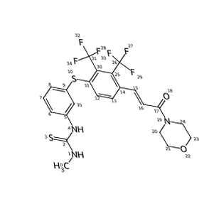 CNC(=S)Nc1cccc(Sc2ccc(C=CC(=O)N3CCOCC3)c(C(F)(F)F)c2C(F)(F)F)c1